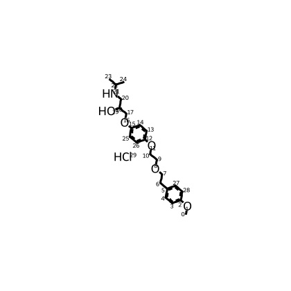 COc1ccc(CCOCCOc2ccc(OCC(O)CNC(C)C)cc2)cc1.Cl